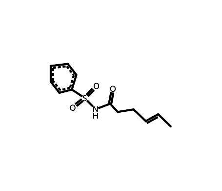 CC=CCCC(=O)NS(=O)(=O)c1ccccc1